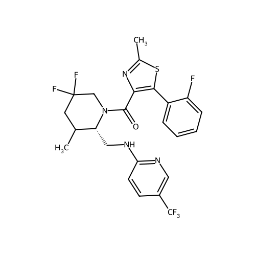 Cc1nc(C(=O)N2CC(F)(F)CC(C)[C@H]2CNc2ccc(C(F)(F)F)cn2)c(-c2ccccc2F)s1